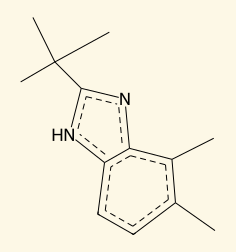 Cc1ccc2[nH]c(C(C)(C)C)nc2c1C